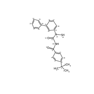 CC(C)(C)c1ccc(C(=O)NC(=O)N(S)c2cccc(-c3ccccc3)c2)cc1